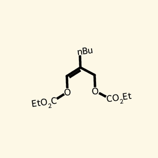 CCCCC(=COC(=O)OCC)COC(=O)OCC